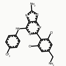 NCc1cc(Cl)c(-c2nc(Nc3ccc(C(F)(F)F)cc3)c3nc(N)sc3n2)c(Cl)c1